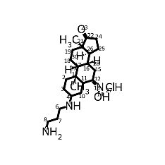 C[C@]12CCC(NCCCN)CC1/C(=N\O)C[C@@H]1[C@H]2CC[C@]2(C)C(=O)CC[C@@H]12.Cl